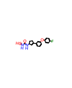 O=C(NO)NC1C=C(c2cccc(Oc3ccc(F)cc3)c2)CC1